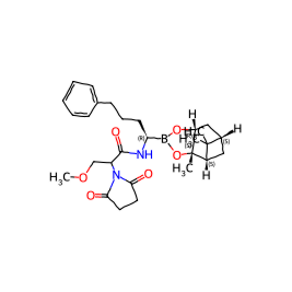 COCC(C(=O)N[C@@H](CCCc1ccccc1)B1O[C@@H]2C[C@@H]3C[C@@H](C3(C)C)[C@]2(C)O1)N1C(=O)CCC1=O